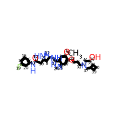 COc1cc2c(Nc3cc(CC(=O)Nc4cccc(F)c4)[nH]n3)ncnc2cc1OCCCN(CCO)CC1CCC1